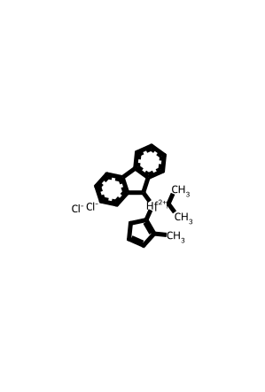 CC1=[C]([Hf+2](=[C](C)C)[CH]2c3ccccc3-c3ccccc32)CC=C1.[Cl-].[Cl-]